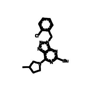 CC1CCN(c2nc(C(C)(C)C)nc3c2nnn3Cc2ccccc2Cl)C1